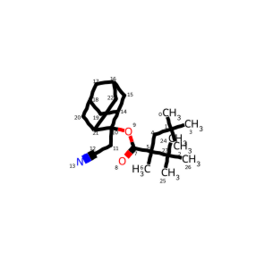 CC(C)(C)CC(C)(C(=O)OC1(CC#N)C2CC3CC(C2)CC1C3)C(C)(C)C